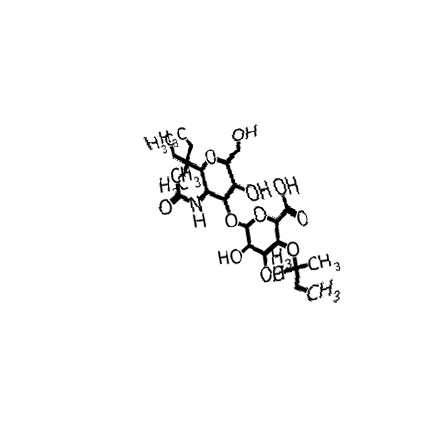 CCC(C)(C)OC1C(C(=O)O)OC(OC2C(O)C(CO)OC(C(C)(CC)CC)C2NC(C)=O)C(O)C1O